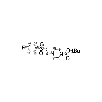 CC(C)(C)OC(=O)N1CCN(CCS(=O)(=O)c2ccc(F)cc2)CC1